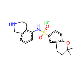 CC1(C)CCc2cc(S(=O)(=O)Nc3cccc4c3CCNC4)ccc2O1.Cl